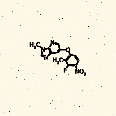 Cc1c(Oc2cnc3c(c2)ncn3C)ccc([N+](=O)[O-])c1F